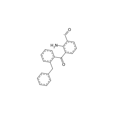 Nc1c([C]=O)cccc1C(=O)c1ccccc1Cc1ccccc1